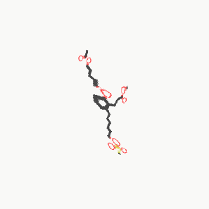 COC(=O)CCc1c(CCCCCCOS(C)(=O)=O)cccc1OCCCCCOC(C)=O